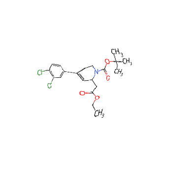 CCOC(=O)CC1C=C(c2ccc(Cl)c(Cl)c2)CCN1C(=O)OC(C)(C)C